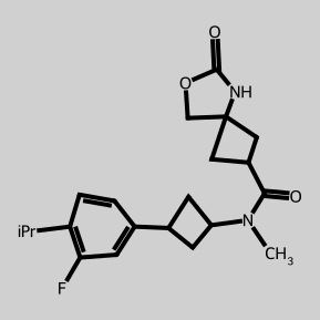 CC(C)c1ccc(C2CC(N(C)C(=O)C3CC4(COC(=O)N4)C3)C2)cc1F